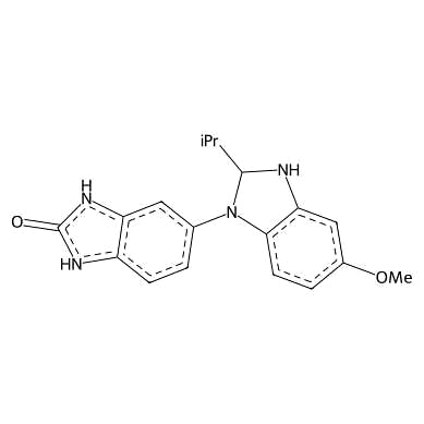 COc1ccc2c(c1)NC(C(C)C)N2c1ccc2[nH]c(=O)[nH]c2c1